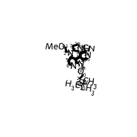 COCCN(c1ccnc2c1c1cc(C#N)ncc1n2COCC[Si](C)(C)C)[C@H]1CCNC1